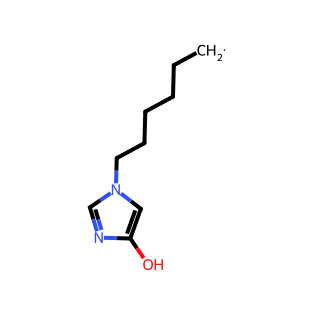 [CH2]CCCCCn1cnc(O)c1